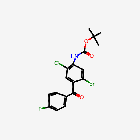 CC(C)(C)OC(=O)Nc1cc(Br)c(C(=O)c2ccc(F)cc2)cc1Cl